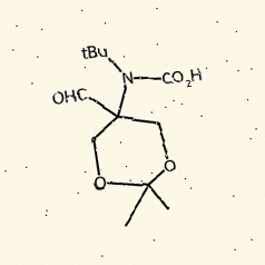 CC1(C)OCC(C=O)(N(C(=O)O)C(C)(C)C)CO1